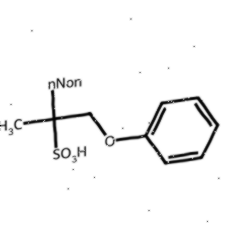 CCCCCCCCCC(C)(COc1ccccc1)S(=O)(=O)O